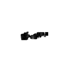 CC(=CC[C@H](O[Si](C)(C)C(C)(C)C)C(C)=Cc1csc(C)n1)CCC[C@H](C)[C@H](O)[C@@H](C)C(=O)C(C)(C)C(=O)O